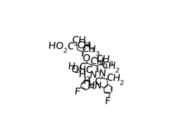 C=C(C)/C(=C(N)\N=C(/C)C(=C)c1ccc(F)cc1NCc1cccc(F)c1)C(C)(C=O)C(=C)O/C=C(\C)CC(C)(C)C(=O)O